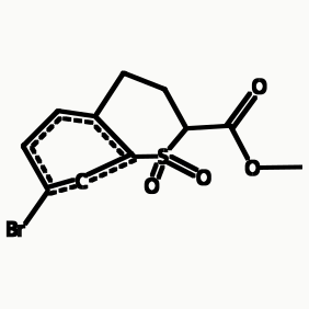 COC(=O)C1CCc2ccc(Br)cc2S1(=O)=O